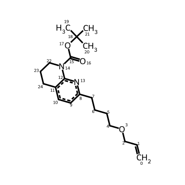 C=CCOCCCCc1ccc2c(n1)N(C(=O)OC(C)(C)C)CCC2